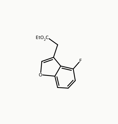 CCOC(=O)Cc1coc2cccc(F)c12